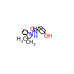 CC1(C)CCN(C(=O)N[C@H]2C3CC4CC2C[C@](O)(C4)C3)c2ccccc21